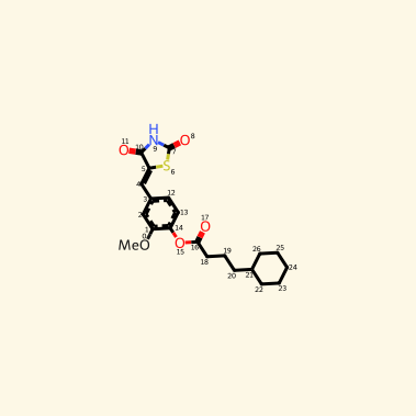 COc1cc(/C=C2\SC(=O)NC2=O)ccc1OC(=O)CCCC1CCCCC1